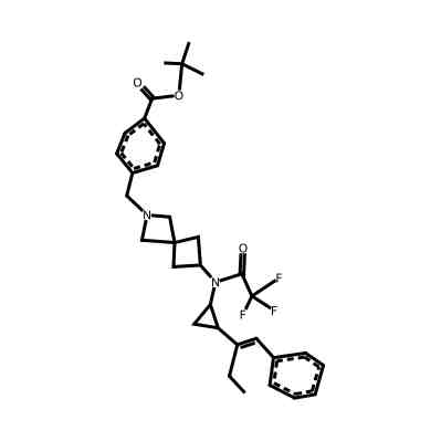 CCC(=Cc1ccccc1)C1CC1N(C(=O)C(F)(F)F)C1CC2(C1)CN(Cc1ccc(C(=O)OC(C)(C)C)cc1)C2